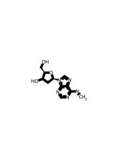 C=Nc1ncnc2c1ncn2[C@H]1CC(O)[C@@H](CO)O1